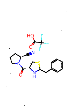 N#C[C@@H]1CCCN1C(=O)[C@@H]1CSC(Cc2ccccc2)N1.O=C(O)C(F)(F)F